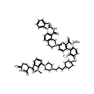 Cn1nc(C2CCC(=O)NC2=O)c2cccc(N3CCN(CCCC4CCC(Oc5cccc(-c6ccc(N7CCc8cccc(C(=O)Nc9nc%10ccccc%10s9)c8C7)nc6C(=O)OC(C)(C)C)c5C(F)(F)F)CC4)CC3)c21